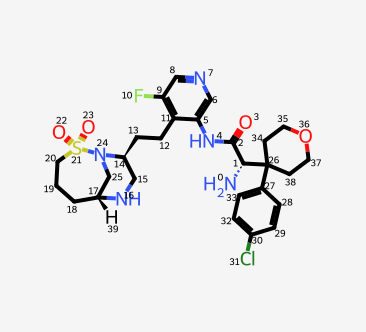 N[C@H](C(=O)Nc1cncc(F)c1CC[C@H]1CN[C@@H]2CCCS(=O)(=O)N1C2)C1(c2ccc(Cl)cc2)CCOCC1